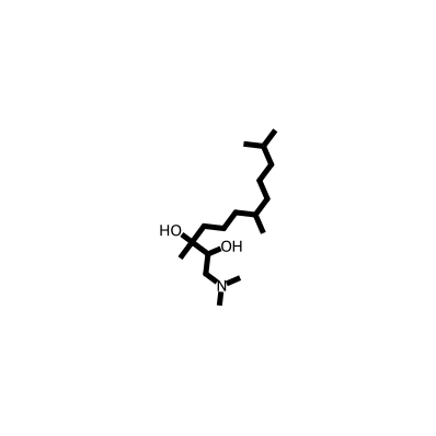 CC(C)CCCC(C)CCCC(C)(O)C(O)CN(C)C